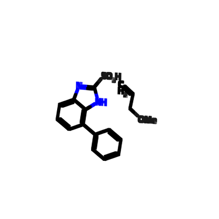 C=CCOC.O=S(=O)(O)c1nc2cccc(-c3ccccc3)c2[nH]1